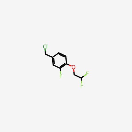 Fc1cc(CCl)ccc1OCC(F)F